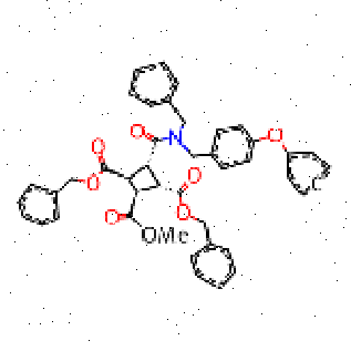 COC(=O)[C@H]1[C@@H](C(=O)OCc2ccccc2)[C@H](C(=O)N(Cc2ccccc2)Cc2ccc(Oc3ccccc3)cc2)[C@@H]1C(=O)OCc1ccccc1